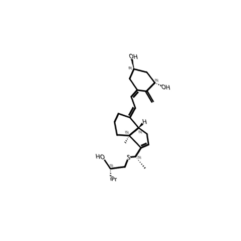 C=C1C(=CC=C2CCC[C@]3(C)C([C@H](C)SC[C@@H](O)C(C)C)=CC[C@@H]23)C[C@@H](O)C[C@@H]1O